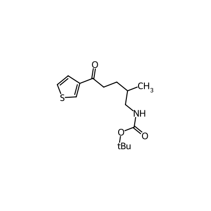 CC(CCC(=O)c1ccsc1)CNC(=O)OC(C)(C)C